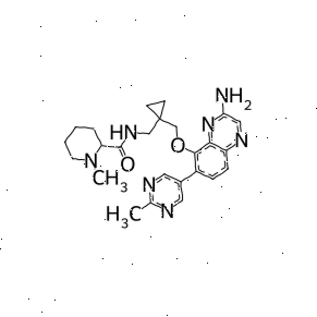 Cc1ncc(-c2ccc3ncc(N)nc3c2OCC2(CNC(=O)C3CCCCN3C)CC2)cn1